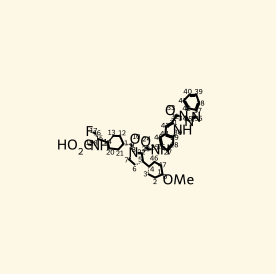 CO[C@H]1CC[C@H]([C@@H]2CCN(C(=O)[C@H]3CC[C@H]([C@@H](CF)NC(=O)O)CC3)[C@@H]2C(=O)Nc2ccc3[nH]c(C(=O)n4nnc5ccccc54)cc3c2)CC1